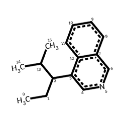 CCC(c1cncc2ccccc12)C(C)C